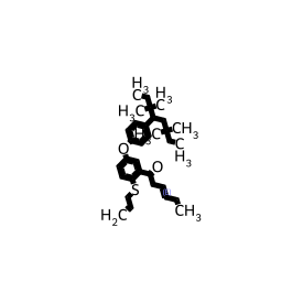 C=CCSc1ccc(Oc2ccc(C(CC(C)(C)CC)C(C)(C)CC)cc2)cc1C(=O)C/C=C/CC